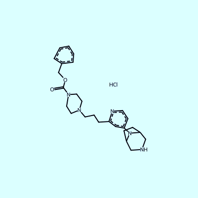 Cl.O=C(OCc1ccccc1)N1CCN(CCCc2cc(N3C4CCC3CNC4)ccn2)CC1